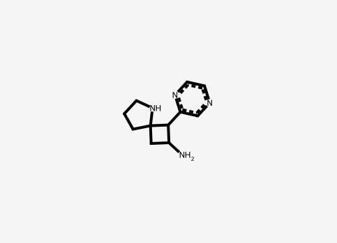 NC1CC2(CCCN2)C1c1cnccn1